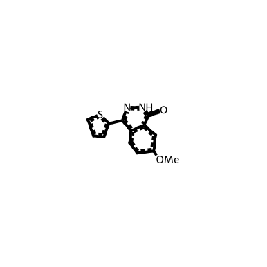 COc1ccc2c(-c3cccs3)n[nH]c(=O)c2c1